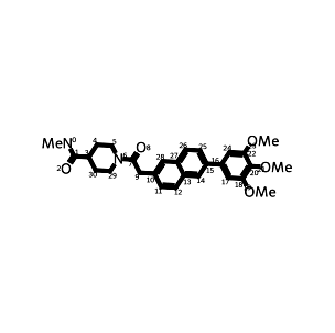 CNC(=O)C1CCN(C(=O)Cc2ccc3cc(-c4cc(OC)c(OC)c(OC)c4)ccc3c2)CC1